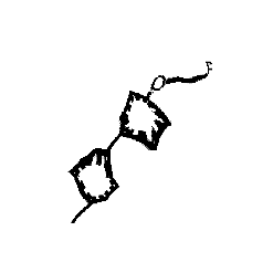 Cc1ccc(-c2ccc(OCF)cc2)cc1